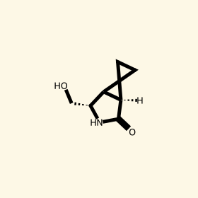 O=C1N[C@H](CO)C2[C@H]1C21CC1